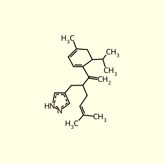 C=C(C1=CC=C(C)CC1C(C)C)C(CC=C(C)C)Cc1cn[nH]c1